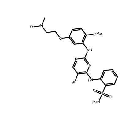 CCN(C)CCOc1ccc(OC)c(Nc2ncc(Br)c(Nc3ccccc3S(=O)(=O)NC)n2)c1